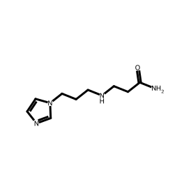 NC(=O)CCNCCCn1ccnc1